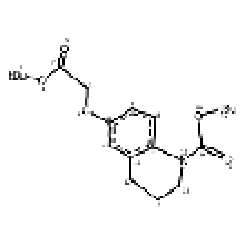 CC(C)(C)OC(=O)COc1ccc2c(c1)CCCN2C(=O)OC(C)(C)C